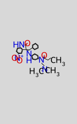 CCCC(=O)N(CCN(C)C)c1ccc(NC(=C2C(=O)Nc3ccc([N+](=O)[O-])cc32)c2ccccc2)cc1